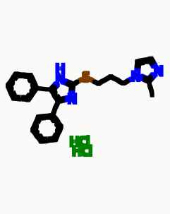 Cc1nccn1CCCSc1nc(-c2ccccc2)c(-c2ccccc2)[nH]1.Cl.Cl